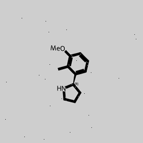 COc1cccc([C@H]2CCCN2)c1C